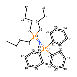 CCCCP(CCCC)(CCCC)=[N+]=P(c1ccccc1)(c1ccccc1)c1ccccc1